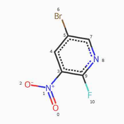 O=[N+]([O-])c1cc(Br)cnc1F